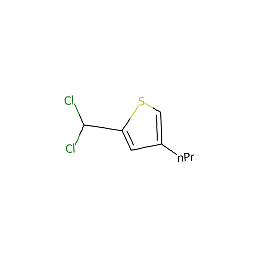 CCCc1csc(C(Cl)Cl)c1